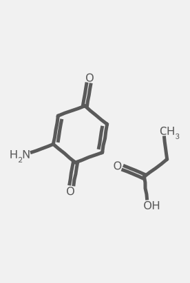 CCC(=O)O.NC1=CC(=O)C=CC1=O